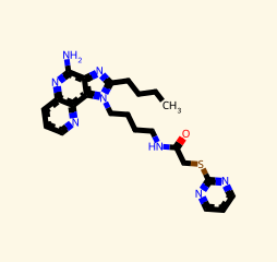 CCCCc1nc2c(N)nc3cccnc3c2n1CCCCNC(=O)CSc1ncccn1